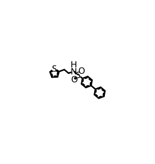 O=S(=O)(NCCc1cccs1)c1ccc(-c2ccccc2)cc1